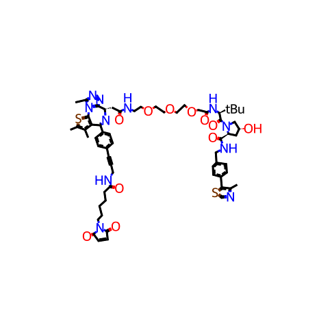 Cc1ncsc1-c1ccc(CNC(=O)[C@@H]2C[C@@H](O)CN2C(=O)[C@@H](NC(=O)COCCOCCOCCNC(=O)C[C@@H]2N=C(c3ccc(C#CCNC(=O)CCCCCN4C(=O)C=CC4=O)cc3)c3c(sc(C)c3C)-n3c(C)nnc32)C(C)(C)C)cc1